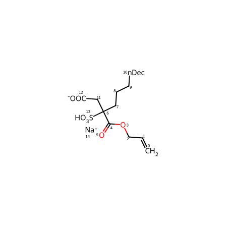 C=CCOC(=O)C(CCCCCCCCCCCCC)(CC(=O)[O-])S(=O)(=O)O.[Na+]